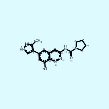 Cc1n[nH]cc1-c1cc(Cl)c2nnc(NC(=O)N3CCCC3)cc2c1